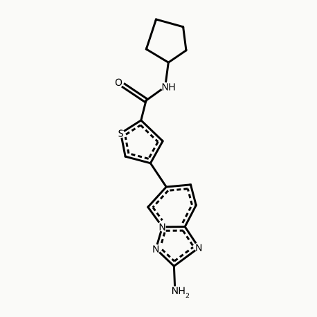 Nc1nc2ccc(-c3csc(C(=O)NC4CCCC4)c3)cn2n1